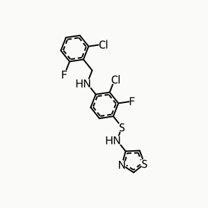 Fc1cccc(Cl)c1CNc1ccc(SNc2cscn2)c(F)c1Cl